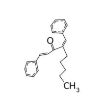 CCCCCC(=Cc1ccccc1)C(=O)C=Cc1ccccc1